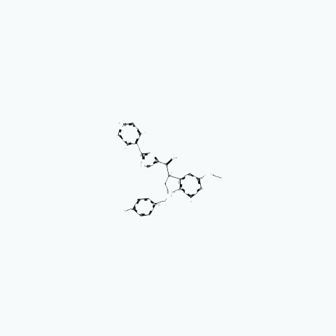 COc1ccc2c(c1)C(C(=O)c1cnc(-c3ccncc3)s1)CN2Cc1ccc(Cl)cc1